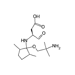 CC1CCC(C)C1(N[C@H](C=O)CC(=O)O)OCC(C)(C)N